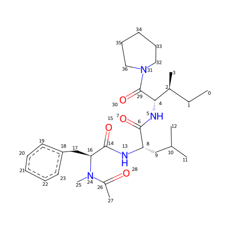 CC[C@H](C)[C@H](NC(=O)[C@H](CC(C)C)NC(=O)[C@H](Cc1ccccc1)N(C)C(C)=O)C(=O)N1CCCCC1